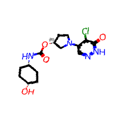 O=C(N[C@H]1CC[C@@H](O)CC1)O[C@@H]1CCN(c2cn[nH]c(=O)c2Cl)C1